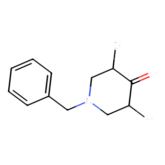 CCC1CN(Cc2ccccc2)CC(CC)C1=O